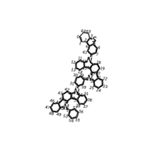 C1=Cc2c(sc3ccc(-n4c5ccccc5c5c4ccc4c6ccccc6n(-c6cccc(-n7c8ccccc8c8c7ccc7c9ccccc9n(-c9ccccc9)c78)c6)c45)cc23)CC1